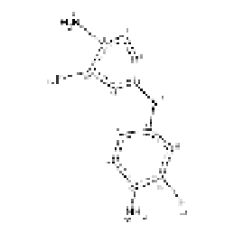 Nc1ccc(Sc2ccc(N)c(F)c2)cc1F